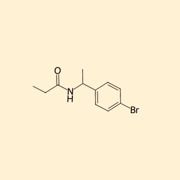 CCC(=O)NC(C)c1ccc(Br)cc1